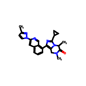 Cc1ccn(-c2cc3cccc(-c4nc(C5CC5)n5c4CN(C)C(=O)C5C)c3cn2)n1